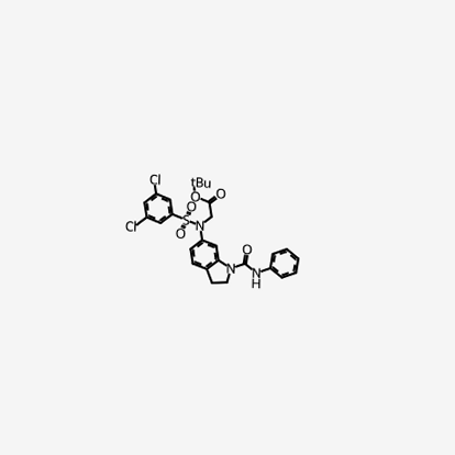 CC(C)(C)OC(=O)CN(c1ccc2c(c1)N(C(=O)Nc1ccccc1)CC2)S(=O)(=O)c1cc(Cl)cc(Cl)c1